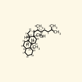 CC(C)CC[C@H](O)[C@@H](C)[C@H]1CC[C@H]2[C@@H]3CCC4CCCC[C@]4(C)[C@H]3CC[C@]12C